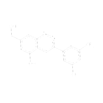 OCc1cc(O)c2cc(-c3cc(C(F)(F)F)cc(C(F)(F)F)c3)nnc2c1